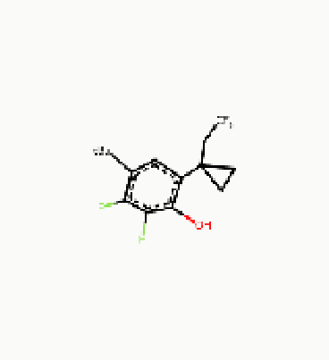 CC(C)(C)c1cc(C2(CC(F)(F)F)CC2)c(O)c(F)c1F